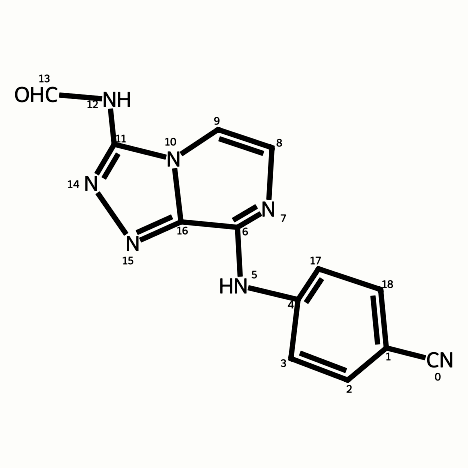 N#Cc1ccc(Nc2nccn3c(NC=O)nnc23)cc1